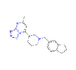 Cc1cc(C2CCCN(Cc3ccc4c(c3)CCC4)C2)n2ncnc2n1